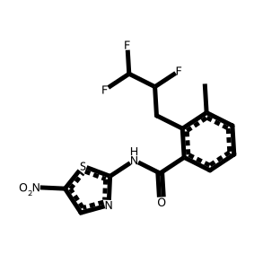 Cc1cccc(C(=O)Nc2ncc([N+](=O)[O-])s2)c1CC(F)C(F)F